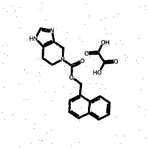 O=C(O)C(=O)O.O=C(OCc1cccc2ccccc12)N1CCc2[nH]cnc2C1